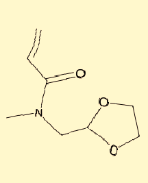 C=CC(=O)N(C)CC1OCCO1